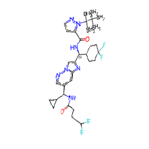 BC(B)(B)C(B)(B)n1nccc1C(=O)N[C@H](c1cn2ncc(C(NC(=O)CCC(F)F)C3CC3)cc2n1)C1CCC(F)(F)CC1